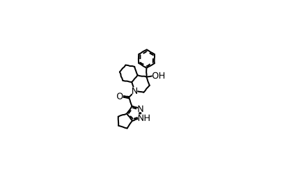 O=C(c1n[nH]c2c1CCC2)N1CCC(O)(c2ccccc2)C2CCCCC21